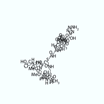 CCC(C)C(C(CC(=O)N1CCCC1C(OC)C(C)C(=O)NC(Cc1ccccc1)C(=O)O)OC)N(C)C(=O)C(NC(=O)C(C(C)C)N(C)C(=O)CCCCCNC(=O)CC(SCCNC(=O)CCNC(=O)C(O)C(C)(C)COP(=O)(O)OP(=O)(O)OCC1OC(n2cnc3c(N)ncnc32)C(O)C1OP(=O)(O)O)C(=O)O)C(C)C